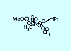 COc1ccc(C(=O)n2c(=O)c(C)cn([C@H]3C[C@H](OCC#CCC(C)C)[C@@H](COC(=O)C(F)(F)F)O3)c2=O)cc1